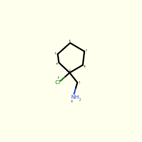 NCC1(Cl)CCCCC1